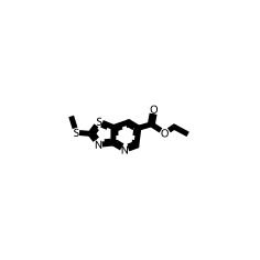 CCOC(=O)c1cnc2nc(SC)sc2c1